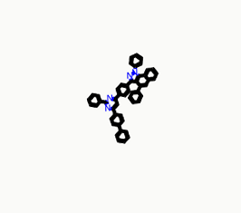 c1ccc(-c2ccc(-c3cc(-c4ccc(-c5nn(-c6ccccc6)c6c5c(-c5ccccc5)cc5ccccc56)cc4)nc(-c4ccccc4)n3)cc2)cc1